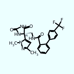 Cc1cc([C@@]2(CNC(=O)c3ccccc3-c3ccc(C(F)(F)F)cc3)NC(=O)NC2=O)n(C)n1